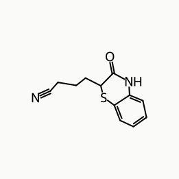 N#CCCCC1Sc2ccccc2NC1=O